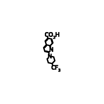 O=C(O)c1ccc2nc(N3CCC(C(F)(F)F)CC3)ccc2c1